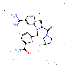 N=C(N)c1ccc2cc(C(=O)N3CCC(F)(F)C3)n(Cc3cccc(C(N)=O)c3)c2c1